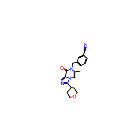 Cc1cn2c(C3CCOCC3)ncc2c(=O)n1Cc1cccc(C#N)c1